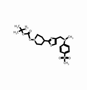 CN(Cc1csc(C2CCN(OC(=O)OC(C)(C)C)CC2)n1)c1ccc(S(C)(=O)=O)cc1